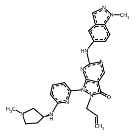 C=CCn1c(=O)c2cnc(Nc3ccc4c(cnn4C)c3)nc2n1-c1cccc(N[C@H]2CCN(C)C2)n1